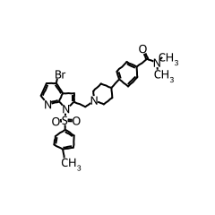 Cc1ccc(S(=O)(=O)n2c(CN3CCC(c4ccc(C(=O)N(C)C)cc4)CC3)cc3c(Br)ccnc32)cc1